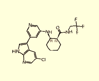 O=C(NCC(F)(F)F)[C@H]1CCCC[C@H]1Nc1cncc(-c2c[nH]c3ncc(Cl)cc23)c1